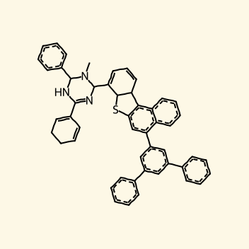 CN1C(C2=CC=CC3c4c(cc(-c5cc(-c6ccccc6)cc(-c6ccccc6)c5)c5ccccc45)SC23)N=C(C2=CCCC=C2)NC1c1ccccc1